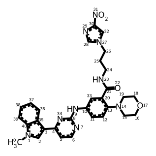 Cn1cc(-c2ccnc(Nc3ccc(N4CCOCC4)c(C(=O)NCCCn4cnc([N+](=O)[O-])c4)c3)n2)c2ccccc21